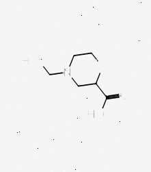 CCN1CCOC(C(=O)O)C1